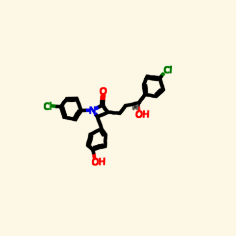 O=C1C(CC[C@@H](O)c2ccc(Cl)cc2)C(c2ccc(O)cc2)N1c1ccc(Cl)cc1